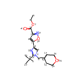 CCOC(=O)c1cc(-c2cn(CC3CCOCC3)c(C(C)(C)C)n2)on1